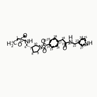 C=CS(=O)(=O)NC[C@H]1CCN(S(=O)(=O)c2ccc(CC(=O)NCc3cc[nH]c3)cc2)C1